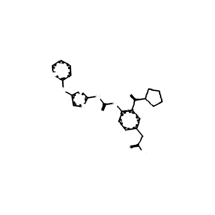 O=C(O)Cc1ccc(NC(=O)Nc2ncc(Sc3ccccn3)s2)c(C(=O)C2CCCC2)c1